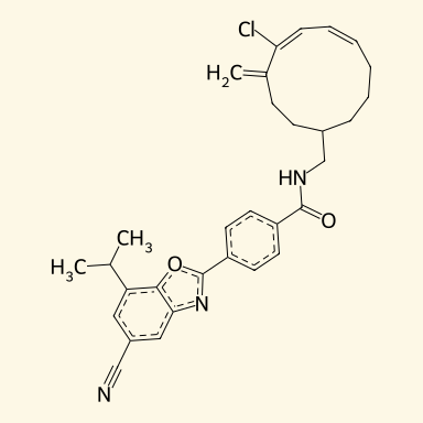 C=C1CCC(CNC(=O)c2ccc(-c3nc4cc(C#N)cc(C(C)C)c4o3)cc2)CCC/C=C\C=C/1Cl